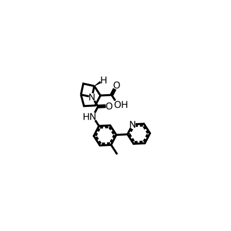 Cc1ccc(NC(=O)N2C3CCC(C(=O)O)[C@H]2C3)cc1-c1ccccn1